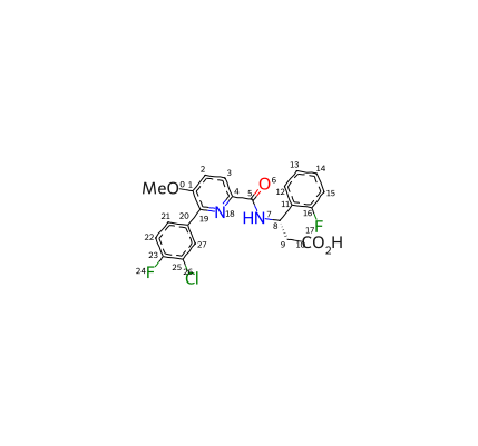 COc1ccc(C(=O)N[C@@H](CC(=O)O)c2ccccc2F)nc1-c1ccc(F)c(Cl)c1